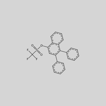 O=S(=O)(Oc1cc(-c2ccccc2)c(-c2ccccc2)c2ccccc12)C(F)(F)F